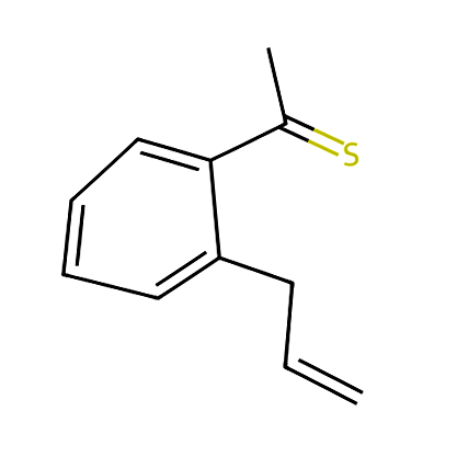 C=CCc1ccccc1C(C)=S